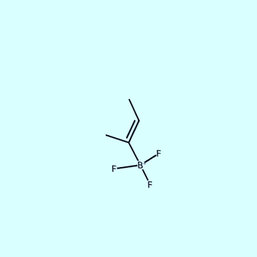 C/C=C(\C)[B-](F)(F)F